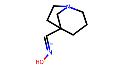 O/N=C/C12CCCN(CC1)C2